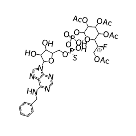 CC(=O)OC[C@H](F)C1OC(OP(=O)(O)OP(O)(=S)OCC2OC(n3cnc4c(NCc5ccccc5)ncnc43)C(O)C2O)C(OC(C)=O)C(OC(C)=O)C1OC(C)=O